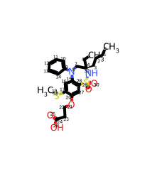 CCCC[C@]1(CC)CN(c2ccccc2)c2cc(SC)c(OCCC(=O)O)cc2S(=O)(=O)N1